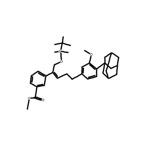 COC(=O)c1cccc(/C(=C/CCc2ccc(C34CC5CC(CC(C5)C3)C4)c(OC)c2)CO[Si](C)(C)C(C)(C)C)c1